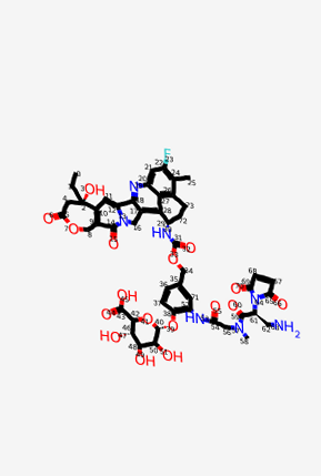 CC[C@@]1(O)CC(=O)OCc2c1cc1n(c2=O)Cc2c-1nc1cc(F)c(C)c3c1c2[C@@H](NC(=O)OCc1ccc(O[C@H]2OC(C(=O)O)[C@@H](O)C(O)C2O)c(NC(=O)CN(C)C(=O)[C@H](CN)N2C(=O)C=CC2=O)c1)CC3